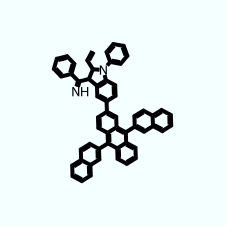 C=CC1C(C(=N)c2ccccc2)c2cc(-c3ccc4c(-c5ccc6ccccc6c5)c5ccccc5c(-c5ccc6ccccc6c5)c4c3)ccc2N1c1ccccc1